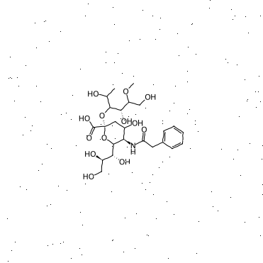 COC(CO)[C@H](O)C(O[C@]1(C(=O)O)CC(O)[C@@H](NC(=O)Cc2ccccc2)C([C@H](O)[C@H](O)CO)O1)C(C)O